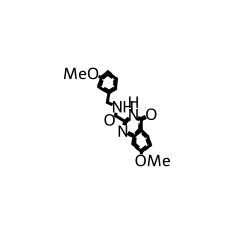 COc1cccc(CNC(=O)c2nc3cc(OC)ccc3c(=O)[nH]2)c1